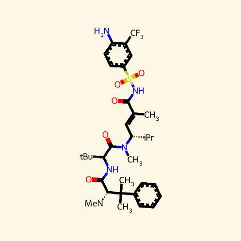 CN[C@H](C(=O)NC(C(=O)N(C)[C@H](/C=C(\C)C(=O)NS(=O)(=O)c1ccc(N)c(C(F)(F)F)c1)C(C)C)C(C)(C)C)C(C)(C)c1ccccc1